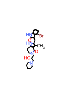 Cc1c(/C=C2\C(=O)Nc3cccc(Br)c32)[nH]c2c1C(=O)N(C[C@@H](O)CN1CCCCC1)CCC2